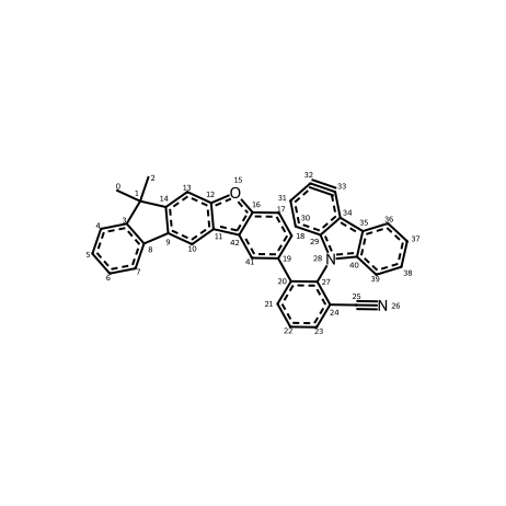 CC1(C)c2ccccc2-c2cc3c(cc21)oc1ccc(-c2cccc(C#N)c2-n2c4ccc#cc4c4ccccc42)cc13